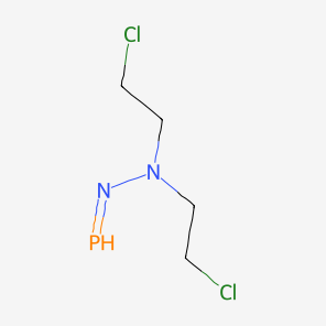 P=NN(CCCl)CCCl